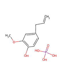 C=CCc1ccc(O)c(OC)c1.O=P(O)(O)O